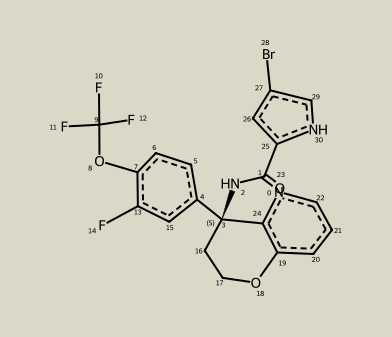 O=C(N[C@]1(c2ccc(OC(F)(F)F)c(F)c2)CCOc2cccnc21)c1cc(Br)c[nH]1